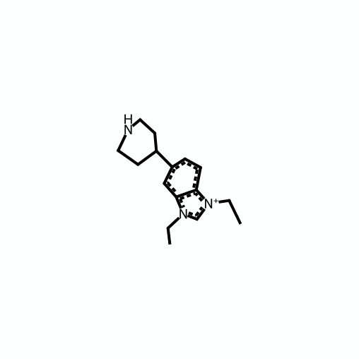 CCn1c[n+](CC)c2ccc(C3CCNCC3)cc21